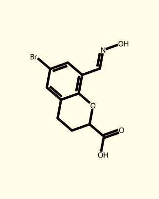 O=C(O)C1CCc2cc(Br)cc(C=NO)c2O1